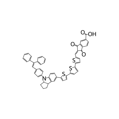 O=C(O)c1ccc2c(c1)C(=O)/C(=C/c1ccc(-c3ccc(-c4ccc(-c5ccc6c(c5)C5CCCC5N6c5ccc(C=C(c6ccccc6)c6ccccc6)cc5)s4)s3)s1)C2=O